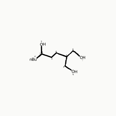 CCCCC(O)CCC(CO)CO